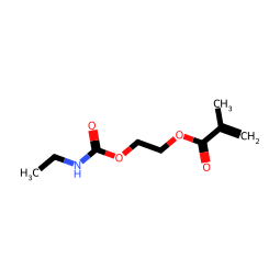 C=C(C)C(=O)OCCOC(=O)NCC